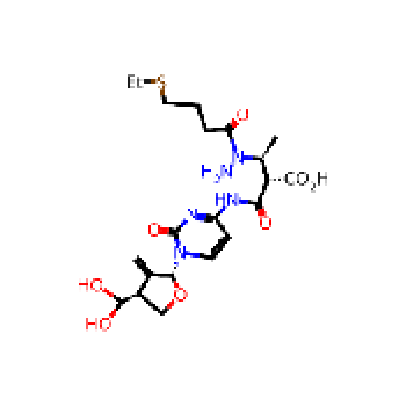 C=C1[C@H](C(O)O)CO[C@H]1n1ccc(NC(=O)[C@@H](C(=O)O)[C@H](C)N(N)C(=O)CCCSCC)nc1=O